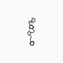 C[C@@H](Cc1ccc(C[C@H](C)C2=NCCN2CCc2ccccc2)cc1)C1=NCCN1